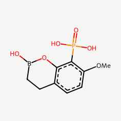 COc1ccc2c(c1P(=O)(O)O)OB(O)CC2